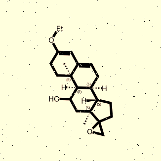 CCOC1=CC2=CC[C@@H]3[C@@H](C(O)C[C@@]4(C)[C@H]3CCC43CO3)[C@@]2(C)CC1